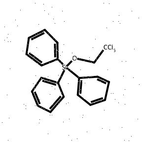 ClC(Cl)(Cl)CO[Si](c1ccccc1)(c1ccccc1)c1ccccc1